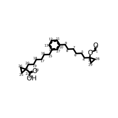 O=COC1(CCCCCCc2cccc(CCCCCCC3(C(=O)O)CC3)c2)CC1